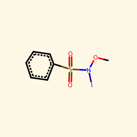 CON(I)S(=O)(=O)c1ccccc1